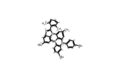 Cc1cc2c3c(c1)-n1c(-c4c(C)cccc4C)nc4cc(C(C)(C)C)cc(c41)B3c1ccc(C(C)(C)C)cc1N2c1ccc(C(C)(C)C)cc1